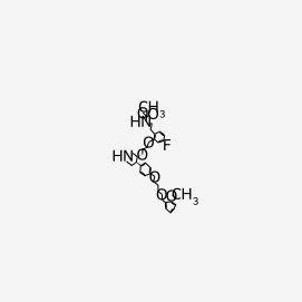 COC(=O)NCCc1ccc(F)cc1OCCO[C@H]1CNCC[C@@H]1c1ccc(OCCCOCc2ccccc2OC)cc1